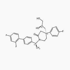 C[C@@H](c1ccc(-c2ccc(F)cc2F)cc1)N1CC[C@](C[C@@H](O)CO)(c2ccc(F)cc2)CC1=O